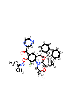 CC(C)=NOc1c(C(=O)c2cnccn2)cc(CO[Si](c2ccccc2)(c2ccccc2)C(C)(C)C)c(N2C[C@@H](C)O[C@H](C)C2)c1F